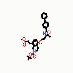 COC(=O)CCc1ccc(OCCc2nc(-c3ccc(-c4ccccc4)cc3)oc2C)c2c1CN(C(=O)OC(C)(C)C)CC2